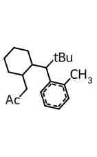 CC(=O)CC1CCCCC1C(c1ccccc1C)C(C)(C)C